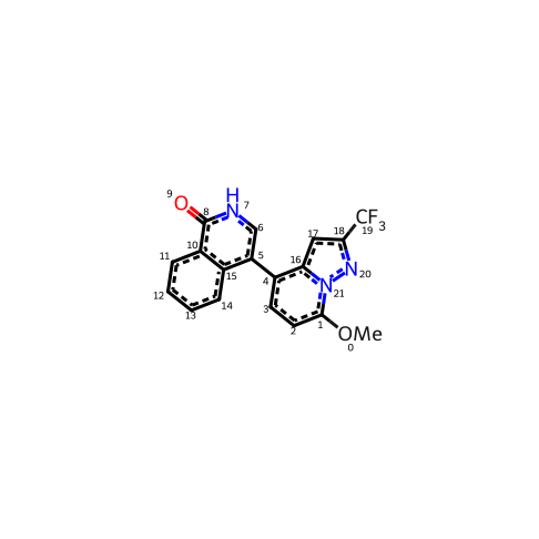 COc1ccc(-c2c[nH]c(=O)c3ccccc23)c2cc(C(F)(F)F)nn12